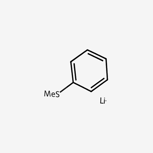 CSc1ccccc1.[Li]